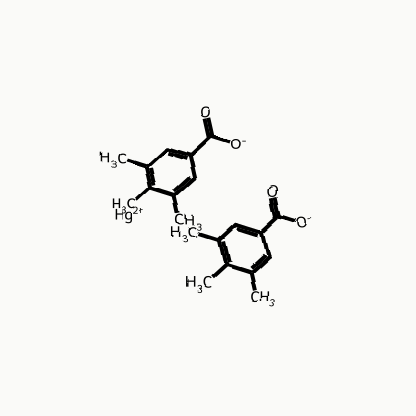 Cc1cc(C(=O)[O-])cc(C)c1C.Cc1cc(C(=O)[O-])cc(C)c1C.[Hg+2]